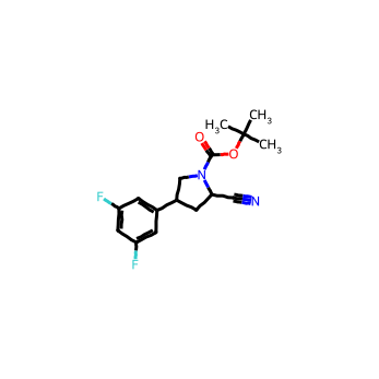 CC(C)(C)OC(=O)N1CC(c2cc(F)cc(F)c2)CC1C#N